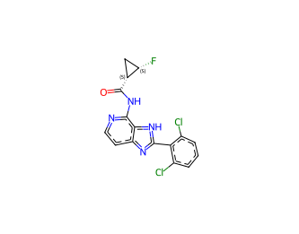 O=C(Nc1nccc2nc(-c3c(Cl)cccc3Cl)[nH]c12)[C@@H]1C[C@@H]1F